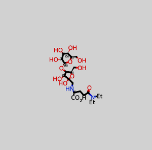 CCN(CC)C(=O)CC[C@H](NCC1(O)O[C@H](CO)C(O[C@H]2O[C@H](CO)[C@@H](O)[C@H](O)[C@H]2O)[C@@H]1O)C(=O)O